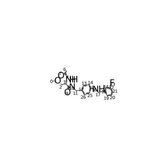 COCC(NC(C)=O)C(=O)NCc1ccc(NCc2cccc(F)c2)cc1